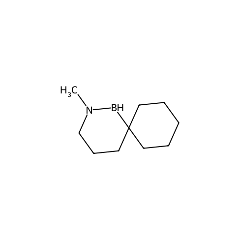 CN1BC2(CCCCC2)CCC1